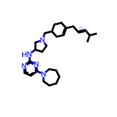 CC(C)/C=C/CC1=CCC(CN2CCC(Nc3nccc(N4CCCCCC4)n3)C2)CC1